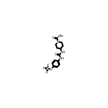 CC[C@H](C)C(=O)N1CCC(NC(=O)Nc2ccc(OS(=O)(=O)F)cc2)CC1